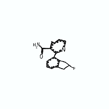 NC(=O)c1cccnc1-c1cccc2c1CC(F)C2